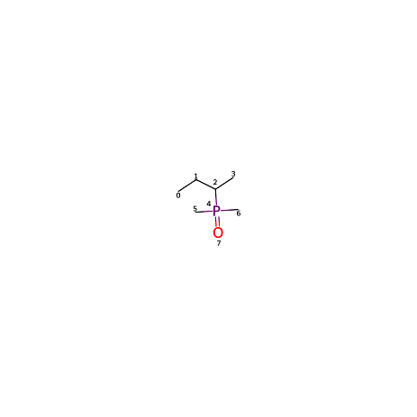 CCC(C)P(C)(C)=O